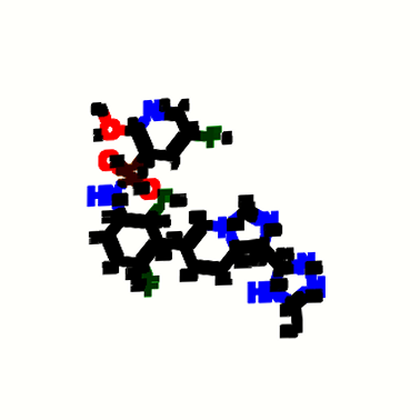 COc1ncc(F)cc1S(=O)(=O)Nc1ccc(F)c(-c2ccc3c(-c4nnc(C)[nH]4)ncn3c2)c1F